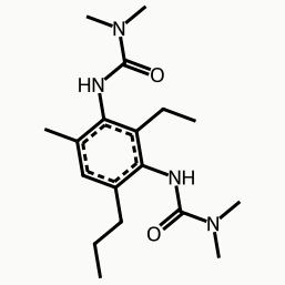 CCCc1cc(C)c(NC(=O)N(C)C)c(CC)c1NC(=O)N(C)C